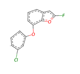 Fc1cc2cccc(Oc3cc[c]c(Cl)c3)c2o1